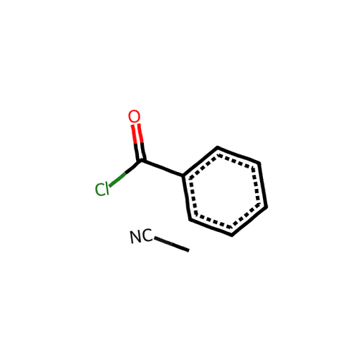 CC#N.O=C(Cl)c1ccccc1